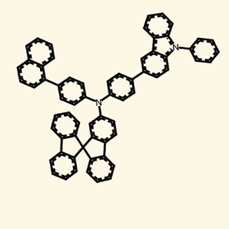 c1ccc(-n2c3ccccc3c3cc(-c4ccc(N(c5ccc(-c6cccc7ccccc67)cc5)c5ccc6c(c5)C5(c7ccccc7-c7ccccc75)c5ccccc5-6)cc4)ccc32)cc1